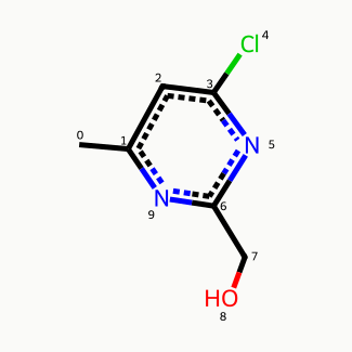 Cc1cc(Cl)nc(CO)n1